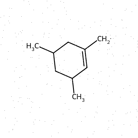 [CH2]C1=CC(C)CC(C)C1